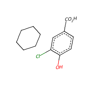 C1CCCCC1.O=C(O)c1ccc(O)c(Cl)c1